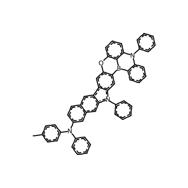 Cc1ccc(N(c2ccccc2)c2ccc3cc4c5cc6c(cc5n(-c5ccccc5)c4cc3c2)B2c3ccccc3N(c3ccccc3)c3cccc(c32)O6)cc1